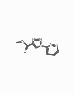 COC(=O)c1cn(-c2cccnn2)nn1